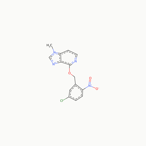 Cn1cnc2c(OCc3cc(Cl)ccc3[N+](=O)[O-])nccc21